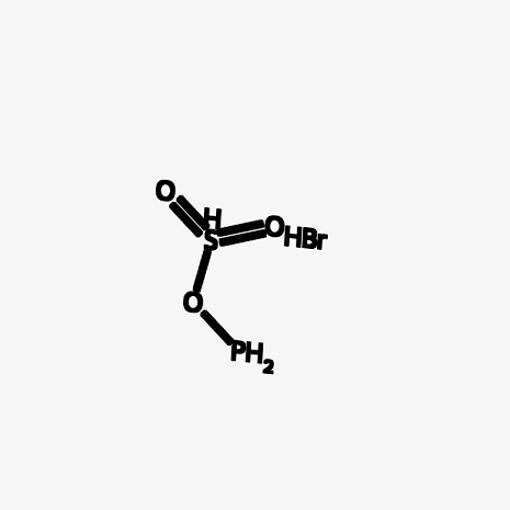 Br.O=[SH](=O)OP